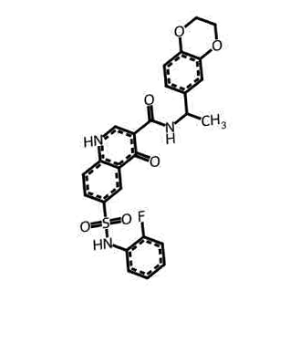 CC(NC(=O)c1c[nH]c2ccc(S(=O)(=O)Nc3ccccc3F)cc2c1=O)c1ccc2c(c1)OCCO2